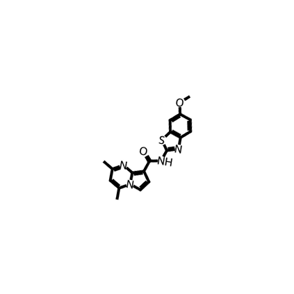 COc1ccc2nc(NC(=O)c3ccn4c(C)cc(C)nc34)sc2c1